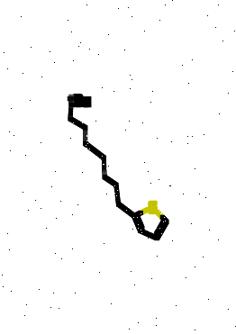 CC(C)(C)CCCCCCCc1cccs1